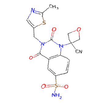 Cc1ncc(Cn2c(=O)c3cc(S(N)(=O)=O)ccc3n(C3(C#N)COC3)c2=O)s1